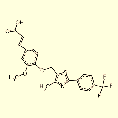 COc1cc(/C=C/C(=O)O)ccc1OCc1sc(-c2ccc(C(F)(F)F)cc2)nc1C